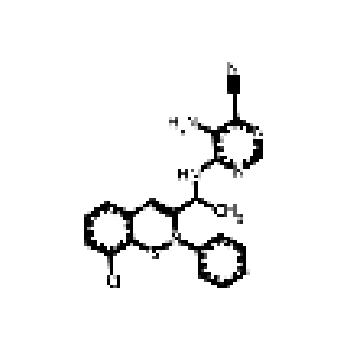 CC(Nc1ncnc(C#N)c1N)C1=Cc2cccc(Cl)c2SN1c1ccccc1